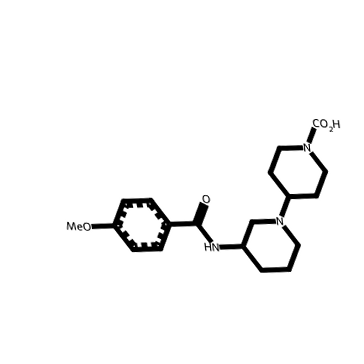 COc1ccc(C(=O)NC2CCCN(C3CCN(C(=O)O)CC3)C2)cc1